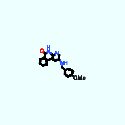 COc1ccc(CNc2cnc3[nH]c(=O)c4ccccc4c3c2)cc1